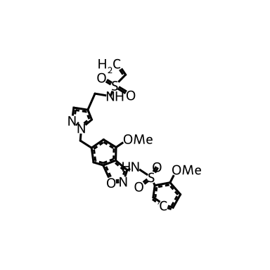 C=CS(=O)(=O)NCc1cnn(Cc2cc(OC)c3c(NS(=O)(=O)c4ccccc4OC)noc3c2)c1